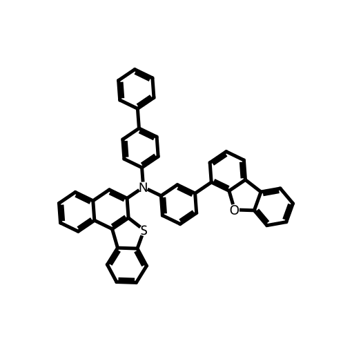 c1ccc(-c2ccc(N(c3cccc(-c4cccc5c4oc4ccccc45)c3)c3cc4ccccc4c4c3sc3ccccc34)cc2)cc1